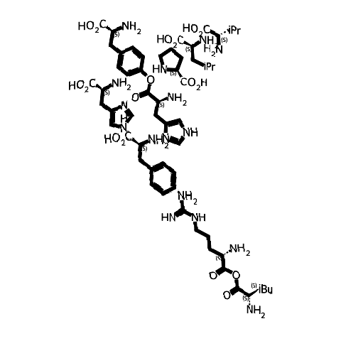 CC(C)C[C@H](N)C(=O)O.CC(C)[C@H](N)C(=O)O.CC[C@H](C)[C@H](N)C(=O)OC(=O)[C@@H](N)CCCNC(=N)N.N[C@@H](Cc1c[nH]cn1)C(=O)O.N[C@@H](Cc1ccc(OC(=O)[C@@H](N)Cc2c[nH]cn2)cc1)C(=O)O.N[C@@H](Cc1ccccc1)C(=O)O.O=C(O)[C@@H]1CCCN1